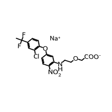 CC(F)(F)c1ccc(Oc2ccc([N+](=O)[O-])c(NCCOCC(=O)[O-])c2)c(Cl)c1.[Na+]